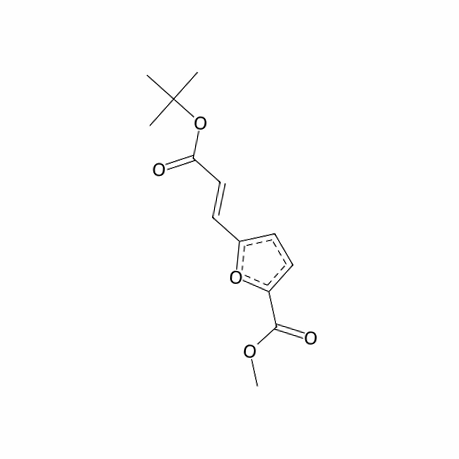 COC(=O)c1ccc(C=CC(=O)OC(C)(C)C)o1